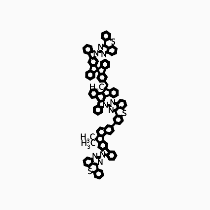 CC1(C)c2cc3c(cc2-c2c1ccc1cc(-c4ccc5c(c4)-c4nc(-n6c7ccccc7c7c8ccccc8c8c(c76)-c6ccccc6C8(C)Cc6ccc7c(c6)-c6ccccc6C76c7ccccc7-c7cc8c9ccccc9n(-c9nc%10c%11c(cccc%11n9)Sc9ccccc9-%10)c8cc76)nc6cccc(c46)S5)ccc21)c1ccccc1n3-c1nc2c3c(cccc3n1)Sc1ccccc1-2